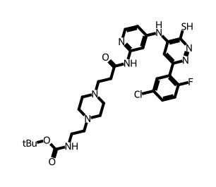 CC(C)(C)OC(=O)NCCN1CCN(CCC(=O)Nc2cc(Nc3cc(-c4cc(Cl)ccc4F)nnc3S)ccn2)CC1